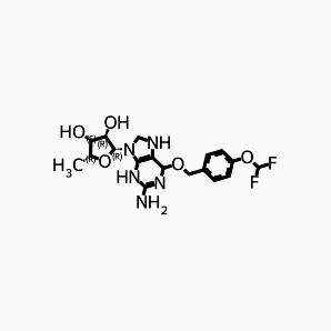 C[C@H]1O[C@@H](N2CNC3=C2NC(N)=NC3OCc2ccc(OC(F)F)cc2)[C@H](O)[C@@H]1O